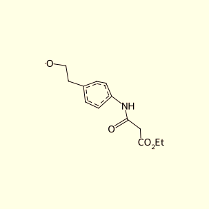 CCOC(=O)CC(=O)Nc1ccc(CC[O])cc1